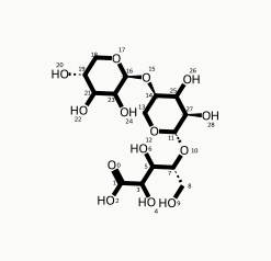 O=C(O)C(O)C(O)[C@@H](CO)O[C@@H]1OC[C@@H](O[C@@H]2OC[C@@H](O)C(O)C2O)C(O)[C@H]1O